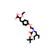 CCOC(Cc1ccc(OCCN(CC(CC)CC)C(=O)OCC(C)(C)C)cc1)C(=O)O